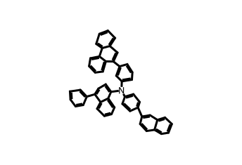 c1ccc(-c2ccc(N(c3ccc(-c4ccc5ccccc5c4)cc3)c3cccc(-c4cc5ccccc5c5ccccc45)c3)c3ccccc23)cc1